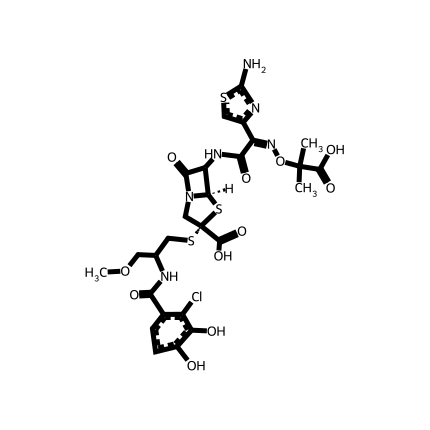 COCC(CS[C@]1(C(=O)O)CN2C(=O)C(NC(=O)/C(=N\OC(C)(C)C(=O)O)c3csc(N)n3)[C@H]2S1)NC(=O)c1ccc(O)c(O)c1Cl